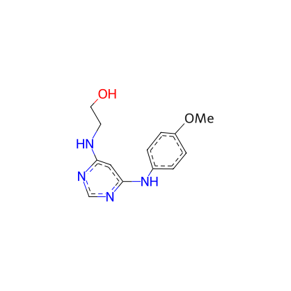 COc1ccc(Nc2cc(NCCO)ncn2)cc1